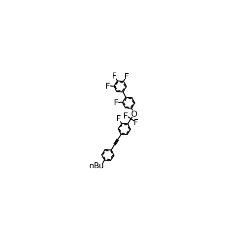 CCCCc1ccc(C#Cc2ccc(C(F)(F)Oc3ccc(-c4cc(F)c(F)c(F)c4)c(F)c3)c(F)c2)cc1